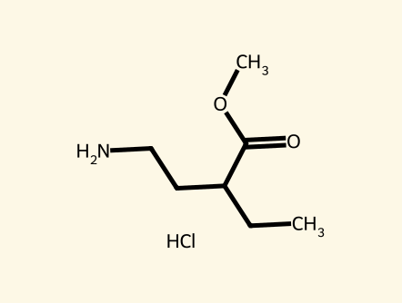 CCC(CCN)C(=O)OC.Cl